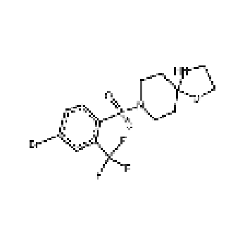 O=S(=O)(c1ccc(Br)cc1C(F)(F)F)N1CCC2(CC1)NCCO2